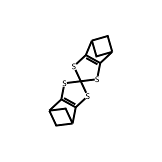 C1C2CC1C1=C2SC2(S1)SC1=C(S2)C2CC1C2